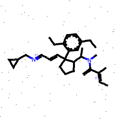 C=C(/C(C)=C/C)N(C)C(C)C1CCCC1(C=C/C=N/CC1CC1)c1cc(CC)ccc1CC